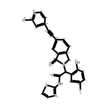 O=C(Nc1nccs1)C(c1cc(F)ccc1O)N1Cc2ccc(C#Cc3ccnc(Cl)c3)cc2C1=O